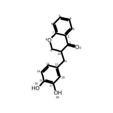 O=C1c2ccccc2OCC1Cc1ccc(O)c(O)c1